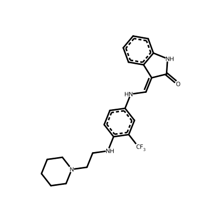 O=C1Nc2ccccc2C1=CNc1ccc(NCCN2CCCCC2)c(C(F)(F)F)c1